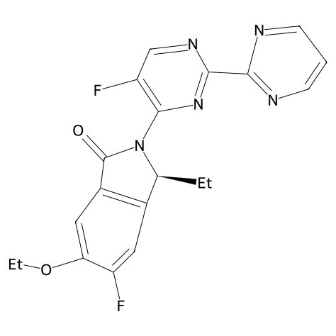 CCOc1cc2c(cc1F)[C@H](CC)N(c1nc(-c3ncccn3)ncc1F)C2=O